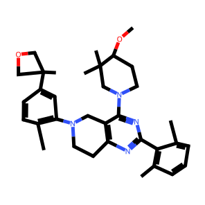 COC1CCN(c2nc(-c3c(C)cccc3C)nc3c2CN(c2cc(C4(C)COC4)ccc2C)CC3)CC1(C)C